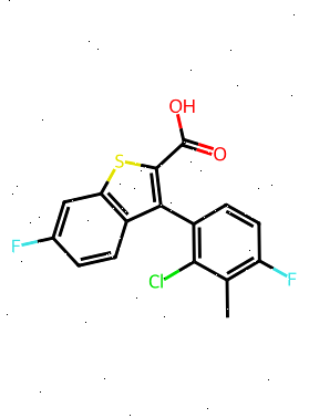 Cc1c(F)ccc(-c2c(C(=O)O)sc3cc(F)ccc23)c1Cl